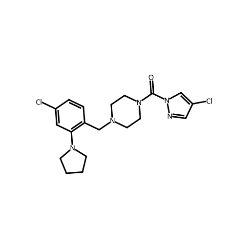 O=C(N1CCN(Cc2ccc(Cl)cc2N2CCCC2)CC1)n1cc(Cl)cn1